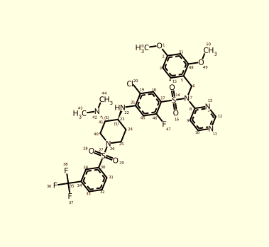 COc1ccc(CN(c2ccncn2)S(=O)(=O)c2cc(Cl)c(N[C@H]3CCN(S(=O)(=O)c4cccc(C(F)(F)F)c4)C[C@@H]3N(C)C)cc2F)c(OC)c1